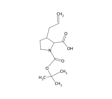 C=CCC1CCN(C(=O)OC(C)(C)C)C1C(=O)O